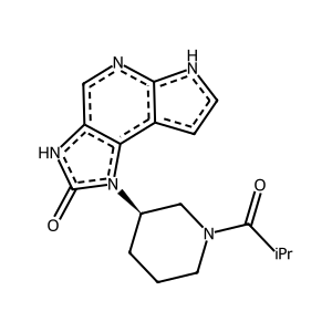 CC(C)C(=O)N1CCC[C@@H](n2c(=O)[nH]c3cnc4[nH]ccc4c32)C1